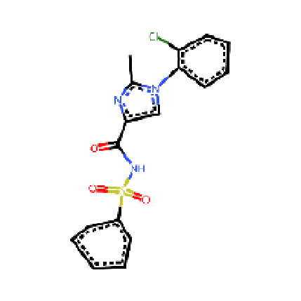 Cc1nc(C(=O)NS(=O)(=O)c2ccccc2)cn1-c1ccccc1Cl